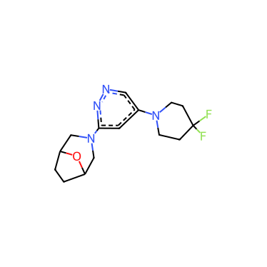 FC1(F)CCN(c2cnnc(N3CC4CCC(C3)O4)c2)CC1